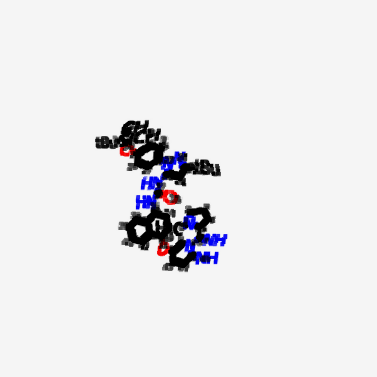 CN1CCC[C@H]1C(=N)n1cc(O[C@@H]2CC[C@H](NC(=O)Nc3cc(C(C)(C)C)nn3-c3ccc(O[Si](C)(C)C(C)(C)C)cc3)c3ccccc32)ccc1=N